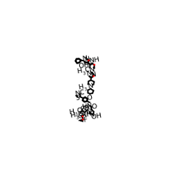 Cc1ncsc1-c1ccc(CNC(=O)C2CC(O)CN2C(=O)[C@@H](NC(=O)C2(F)CC2)C(C)(C)C)c(OC2CCC(N3CCC(c4cnc(N5CCc6[nH]c7nnc(-c8ccccc8O)cc7c6[C@H]5C)nc4)CC3)CC2)c1